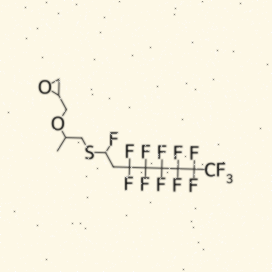 CC(CSC(F)CC(F)(F)C(F)(F)C(F)(F)C(F)(F)C(F)(F)C(F)(F)F)OCC1CO1